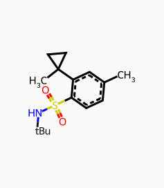 Cc1ccc(S(=O)(=O)NC(C)(C)C)c(C2(C)CC2)c1